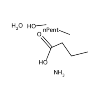 CCCC(=O)O.CCCCCC.CO.N.O